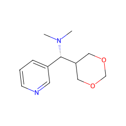 CN(C)[C@@H](c1cccnc1)C1COCOC1